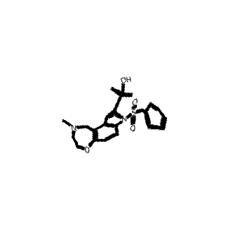 CN1CCOc2ccc3c(cc(C(C)(C)O)n3S(=O)(=O)c3ccccc3)c2C1